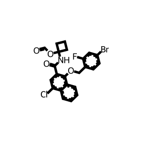 O=COC1(NC(=O)c2cc(Cl)c3ccccc3c2OCc2ccc(Br)cc2F)CCC1